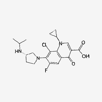 CC(C)N[C@H]1CCN(c2c(F)cc3c(=O)c(C(=O)O)cn(C4CC4)c3c2Cl)C1